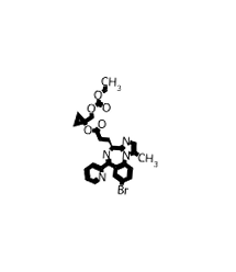 CCOC(=O)OCC1(OC(=O)CC[C@@H]2N=C(c3ccccn3)c3cc(Br)ccc3-n3c(C)cnc32)CC1